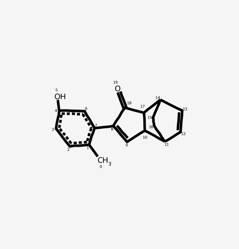 Cc1ccc(O)cc1C1=CC2C3C=CC(CC3)C2C1=O